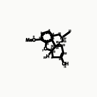 COc1ccc2c3c1O[C@H]1CC(O)=CC[C@]31CCN(C)C2